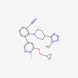 Cn1cnnc1C1CCN(c2c(C#N)cccc2-c2cnc(F)c(OCC3CC3)c2)CC1